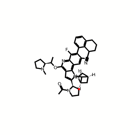 CC(=O)N1CCC[C@@H]1c1cc2c(OC(C)[C@@H]3CCCN3C)nc3c(F)c(-c4cccc5c4C(C#N)CCC5)c(C)cc3c2n1[C@H]1[C@H]2CN[C@@H]1C2